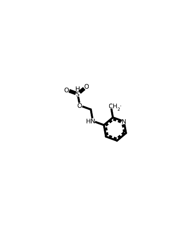 [CH2]c1ncccc1NCO[SH](=O)=O